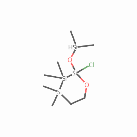 C[SiH](C)O[Si]1(Cl)OCC[Si](C)(C)[Si]1(C)C